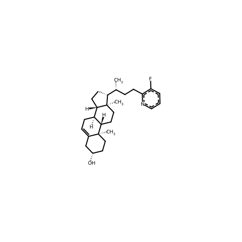 C[C@H](CCc1ncccc1F)[C@H]1CC[C@H]2[C@@H]3CC=C4C[C@@H](O)CC[C@]4(C)[C@H]3CC[C@]12C